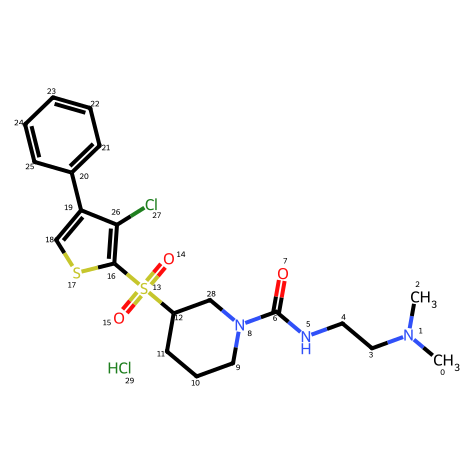 CN(C)CCNC(=O)N1CCCC(S(=O)(=O)c2scc(-c3ccccc3)c2Cl)C1.Cl